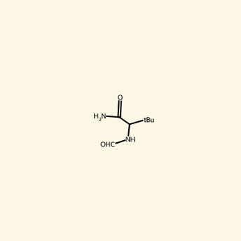 CC(C)(C)C(NC=O)C(N)=O